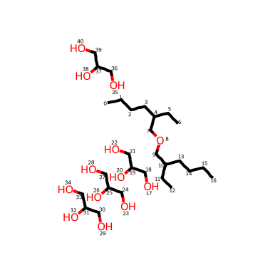 CCCCC(CC)COCC(CC)CCCC.OCC(O)CO.OCC(O)CO.OCC(O)CO.OCC(O)CO